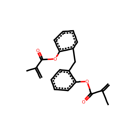 C=C(C)C(=O)Oc1ccccc1Cc1ccccc1OC(=O)C(=C)C